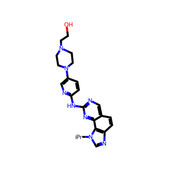 CC(C)n1cnc2ccc3cnc(Nc4ccc(N5CCN(CCO)CC5)cn4)nc3c21